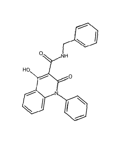 O=C(NCc1ccccc1)c1c(O)c2ccccc2n(-c2ccccc2)c1=O